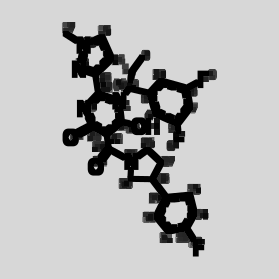 CC[C@@H](c1cc(F)cc(F)c1)n1c(-c2ccn(C)n2)nc(=O)c(C(=O)N2CCC(c3ccc(F)cc3)C2)c1O